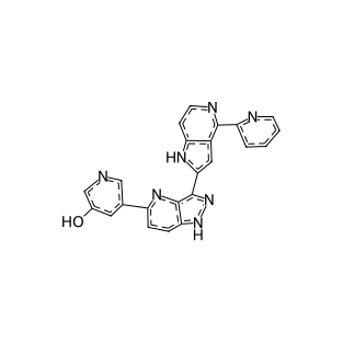 Oc1cncc(-c2ccc3[nH]nc(-c4cc5c(-c6ccccn6)nccc5[nH]4)c3n2)c1